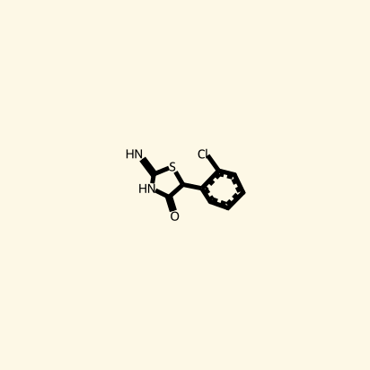 N=C1NC(=O)C(c2ccccc2Cl)S1